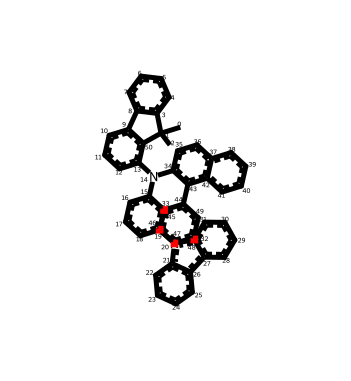 CC1(C)c2ccccc2-c2cccc(N(c3cccc(-n4c5ccccc5c5ccccc54)c3)c3ccc4ccccc4c3-c3ccccc3)c21